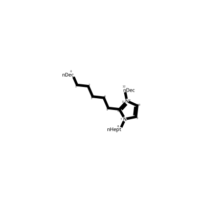 CCCCCCCCCCCCCCCc1n(CCCCCCC)cc[n+]1CCCCCCCCCC